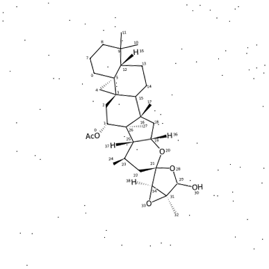 CC(=O)O[C@@H]1C[C@@]23C[C@@]24CCCC(C)(C)[C@@H]4CCC3[C@]2(C)C[C@@H]3O[C@]4(C[C@@H](C)[C@@H]3[C@@]12C)OC(O)[C@@]1(C)O[C@@H]41